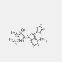 Nc1ncnc2c1c(C1=CCC=C1)cn2[C@@H]1O[C@H](CO)C(O)[C@@H]1O